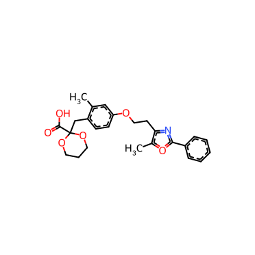 Cc1cc(OCCc2nc(-c3ccccc3)oc2C)ccc1CC1(C(=O)O)OCCCO1